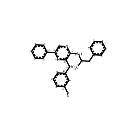 O=C(O)C(Cc1ccccc1)Nc1ncc(-c2ccccc2)nc1Cc1cccc(F)c1